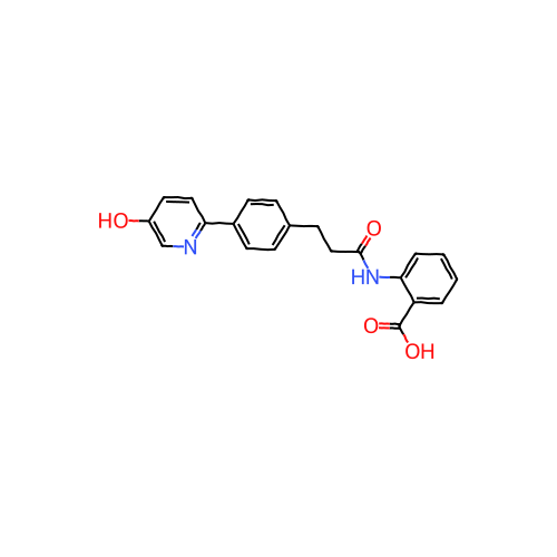 O=C(CCc1ccc(-c2ccc(O)cn2)cc1)Nc1ccccc1C(=O)O